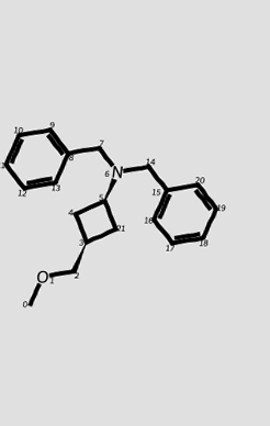 COC[C@H]1C[C@@H](N(Cc2ccccc2)Cc2ccccc2)C1